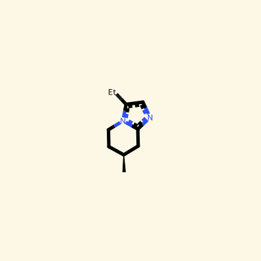 CCc1cnc2n1CC[C@H](C)C2